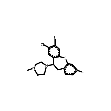 CN1CCN(C2Cc3ccc(F)cc3Sc3cc(F)c(Cl)cc32)CC1